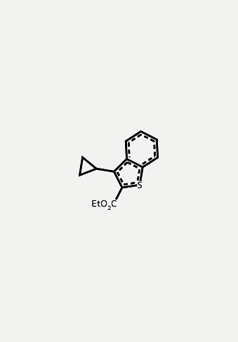 CCOC(=O)c1sc2ccccc2c1C1CC1